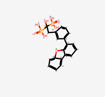 O=P(O)(O)C(O)(Cc1cccc(-c2cccc3c2oc2ccccc23)c1)P(=O)(O)O